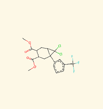 COC(=O)C1CC2C(Cl)(Cl)C2(c2cccc(C(F)(F)F)c2)CC1C(=O)OC